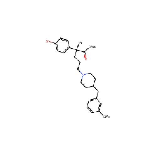 COC(=O)C(CCCN1CCC(Cc2cccc(OC)c2)CC1)(c1ccc(Br)cc1)C(C)C